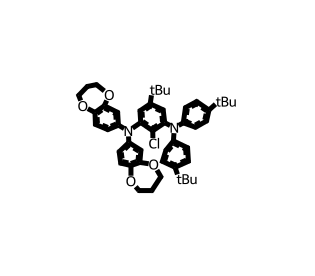 CC(C)(C)c1ccc(N(c2ccc(C(C)(C)C)cc2)c2cc(C(C)(C)C)cc(N(c3ccc4c(c3)OCCCO4)c3ccc4c(c3)OCCCO4)c2Cl)cc1